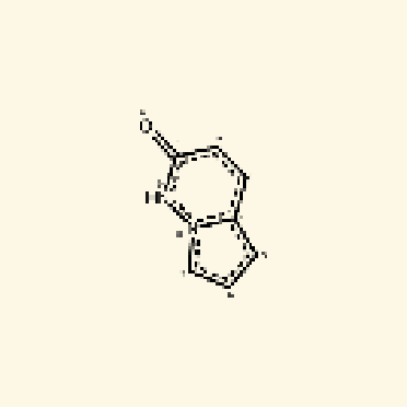 O=c1ccc2cccn2[nH]1